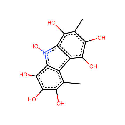 Cc1c(O)c(O)c2c3c(C)c(O)c(O)c(O)c3n(O)c2c1O